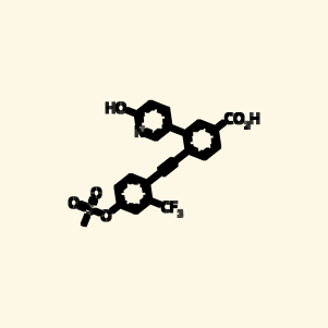 CS(=O)(=O)Oc1ccc(C#Cc2ccc(C(=O)O)cc2-c2ccc(O)nc2)c(C(F)(F)F)c1